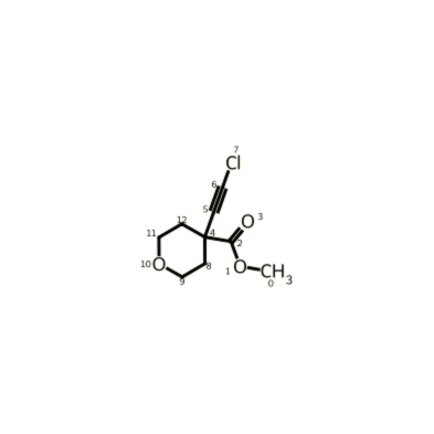 COC(=O)C1(C#CCl)CCOCC1